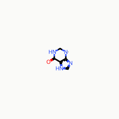 O=C1NC[N]c2nc[nH]c21